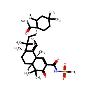 COC(=O)[C@]1(CCC(C)(C)[C@]2(C)CC[C@H]3C(C)(C)C(=O)C(C(=O)NS(C)(=O)=O)=C[C@]3(C)/C2=C/C(C)=O)CCC(C)(C)CC1C